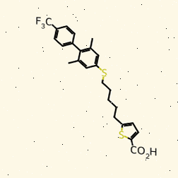 Cc1cc(SCCCCCc2ccc(C(=O)O)s2)cc(C)c1-c1ccc(C(F)(F)F)cc1